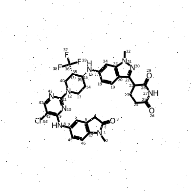 CN1C(=O)Cc2cc(Nc3nc(N4CC[C@@H](Nc5ccc6c(C7CCC(=O)NC7=O)nn(C)c6c5)[C@@H](C(F)(F)F)C4)ncc3Cl)ccc21